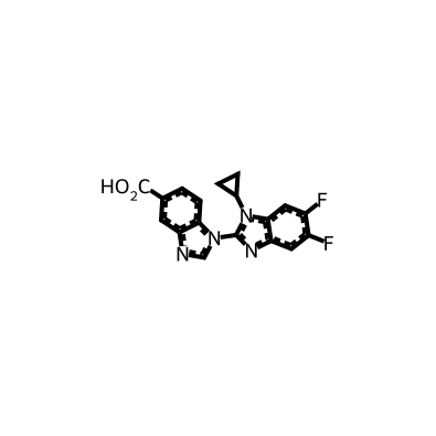 O=C(O)c1ccc2c(c1)ncn2-c1nc2cc(F)c(F)cc2n1C1CC1